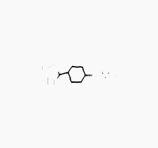 CCCC(CCC)C1CCC(OC)CC1